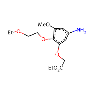 CCOCCOc1c(OC)cc(N)cc1OCC(=O)OCC